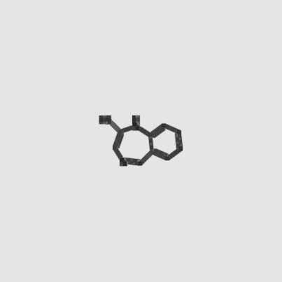 SC1=CN=Cc2ccccc2N1